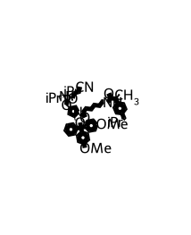 COc1ccc(C(OC[C@@H]2C[C@@H](OP(OCCC#N)N(C(C)C)C(C)C)CN2C(=O)CCCCCNC(=O)[C@@H](C)c2ccc(CC(C)C)cc2)(c2ccccc2)c2ccc(OC)cc2)cc1